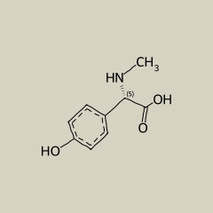 CN[C@H](C(=O)O)c1ccc(O)cc1